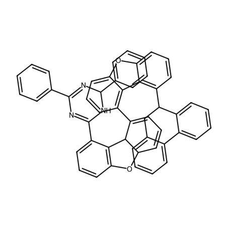 C1=CC2Oc3cccc(C4=NC(c5ccccc5)=NC(c5ccccc5)N4)c3C2C(c2cccc3oc4cccc(C5Cc6ccccc6-c6ccccc65)c4c23)=C1